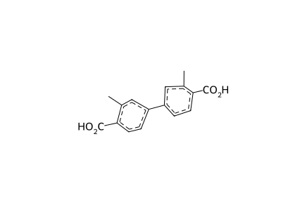 Cc1cc(-c2ccc(C(=O)O)c(C)c2)ccc1C(=O)O